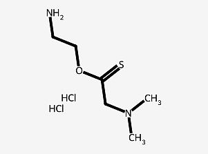 CN(C)CC(=S)OCCN.Cl.Cl